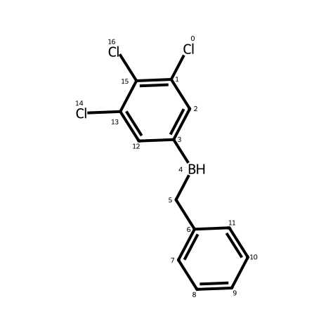 Clc1cc(BCc2ccccc2)cc(Cl)c1Cl